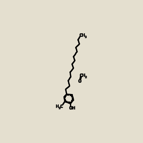 C=O.CCCCCCCCCCCCCCc1ccc(O)c(C)c1